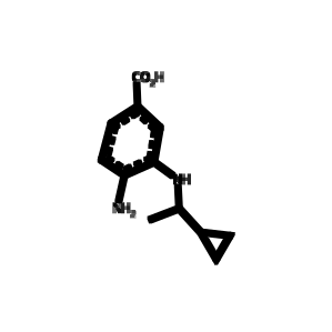 CC(Nc1cc(C(=O)O)ccc1N)C1CC1